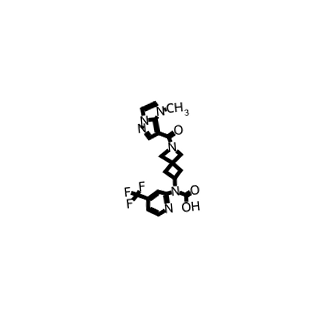 Cn1ccn2ncc(C(=O)N3CC4(CC(N(C(=O)O)c5cc(C(F)(F)F)ccn5)C4)C3)c12